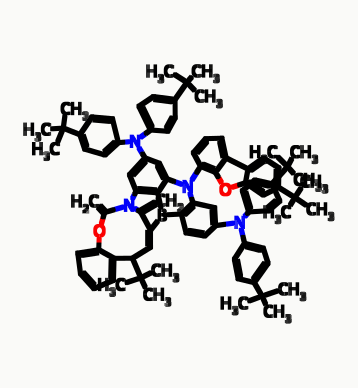 C=C1Oc2ccccc2C(C(C)(C)C)/C=C2/B3c4ccc(N(c5ccc(C(C)(C)C)cc5)c5ccc(C(C)(C)C)cc5)cc4N(c4cccc5c4oc4cc(C(C)(C)C)ccc45)c4cc(N(c5ccc(C(C)(C)C)cc5)c5ccc(C(C)(C)C)cc5)cc(c43)N1C2=C